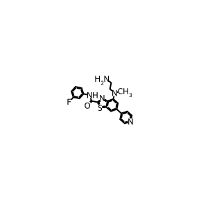 CN(CCN)c1cc(-c2ccncc2)cc2sc(C(=O)Nc3cccc(F)c3)nc12